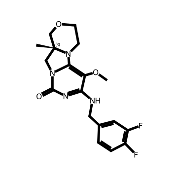 COc1c(NCc2ccc(F)c(F)c2)nc(=O)n2c1N1CCOC[C@@]1(C)C2